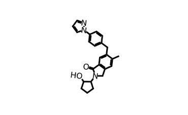 Cc1cc2c(cc1Cc1ccc(-n3cccn3)cc1)C(=O)N(C1CCCC1O)C2